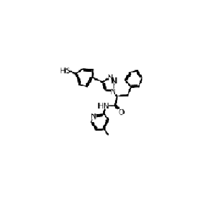 Cc1ccnc(NC(=O)[C@H](Cc2ccccc2)n2cc(-c3ccc(S)cc3)nn2)c1